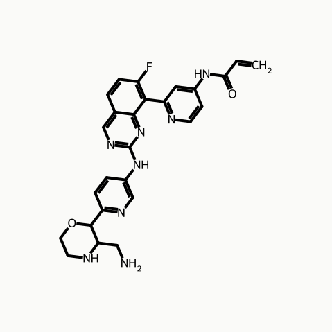 C=CC(=O)Nc1ccnc(-c2c(F)ccc3cnc(Nc4ccc(C5OCCNC5CN)nc4)nc23)c1